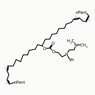 CCCCC/C=C\C/C=C\CCCCCCCCC(CCCCCCCC/C=C\C/C=C\CCCCC)OC(=O)OCCN(CCN(C)C)C(C)C